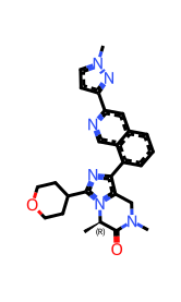 C[C@@H]1C(=O)N(C)Cc2c(-c3cccc4cc(-c5ccn(C)n5)ncc34)nc(C3CCOCC3)n21